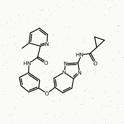 Cc1cccnc1C(=O)Nc1cccc(Oc2ccc3nc(NC(=O)C4CC4)nn3c2)c1